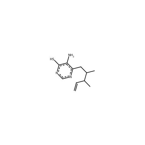 C=CC(C)C(C)Cc1ncnc(S)c1N